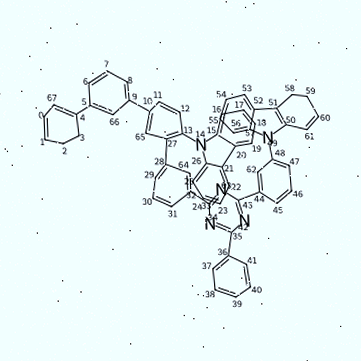 C1=CCCC(c2cccc(-c3ccc(-n4c5ccccc5c5ccccc54)c(-c4cccc(-c5nc(-c6ccccc6)nc(-c6cccc(-n7c8c(c9ccccc97)CCC=C8)c6)n5)c4)c3)c2)=C1